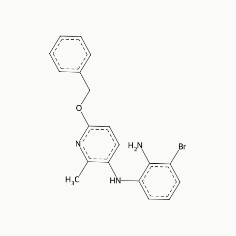 Cc1nc(OCc2ccccc2)ccc1Nc1cccc(Br)c1N